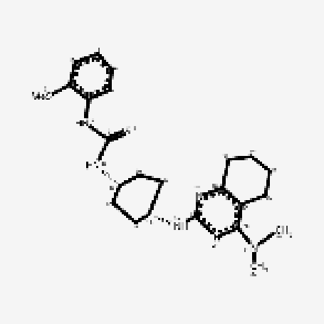 CSc1ccccc1NC(=S)N[C@H]1CC[C@@H](Nc2nc3c(c(N(C)C)n2)CCCC3)CC1